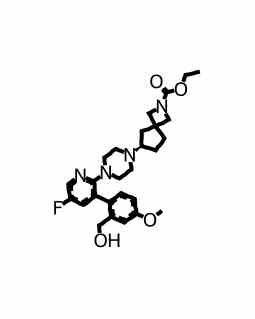 CCOC(=O)N1CC2(CC[C@@H](N3CCN(c4ncc(F)cc4-c4ccc(OC)cc4CO)CC3)C2)C1